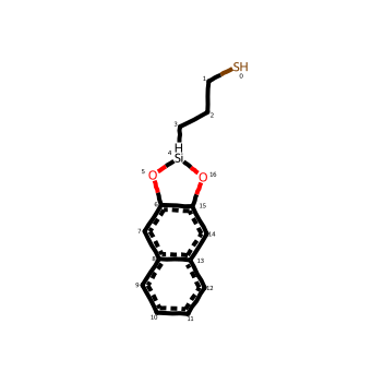 SCCC[SiH]1Oc2cc3ccccc3cc2O1